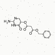 Nc1ncc(OC(=O)CC(=O)OCc2ccccc2)c(=O)[nH]1